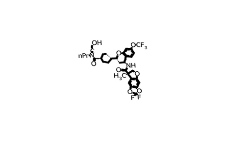 CCCN(CCO)C(=O)[C@H]1CC[C@H]([C@H]2C[C@@H](NC(=O)[C@@]3(C)COc4cc5c(cc43)OC(F)(F)O5)c3ccc(OC(F)(F)F)cc3O2)CC1